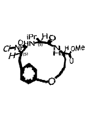 COC(=O)[C@@H]1CCCOc2ccc(cc2)C[C@H](NCl)C(=O)N[C@@H](C(C)C)C(=O)N1